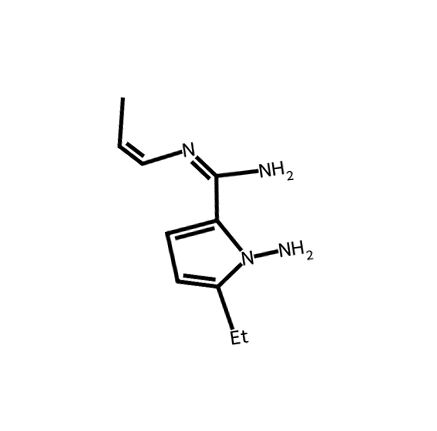 C/C=C\N=C(\N)c1ccc(CC)n1N